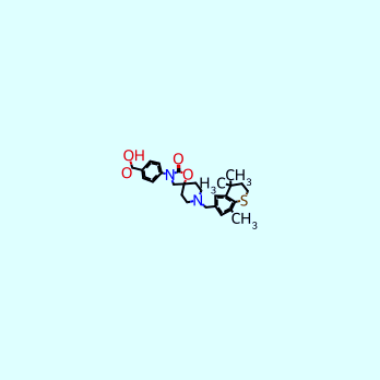 Cc1cc(CN2CCC3(CC2)CN(c2ccc(C(=O)O)cc2)C(=O)O3)cc2c1SCCC2(C)C